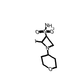 NS(=O)(=O)C1CN(C2CCOCC2)C1I